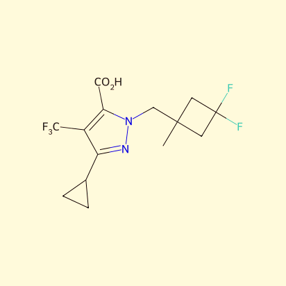 CC1(Cn2nc(C3CC3)c(C(F)(F)F)c2C(=O)O)CC(F)(F)C1